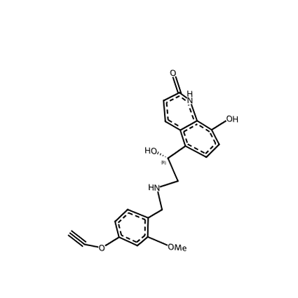 C#COc1ccc(CNC[C@H](O)c2ccc(O)c3[nH]c(=O)ccc23)c(OC)c1